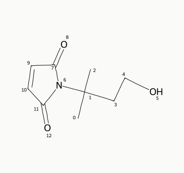 CC(C)(CCO)N1C(=O)C=CC1=O